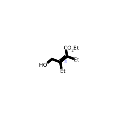 CCOC(=O)/C(CC)=C(/CC)CO